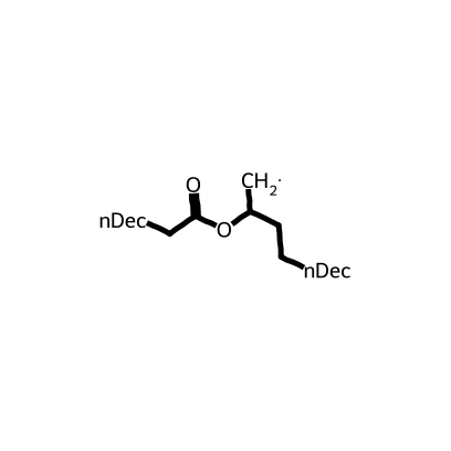 [CH2]C(CCCCCCCCCCCC)OC(=O)CCCCCCCCCCC